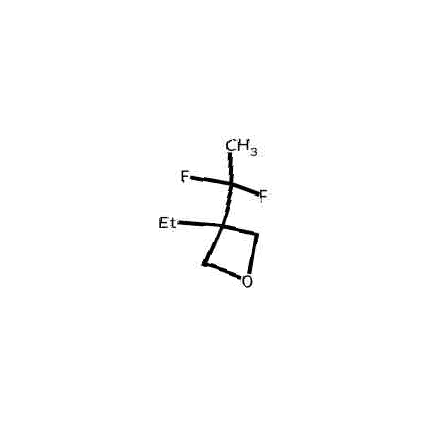 CCC1(C(C)(F)F)COC1